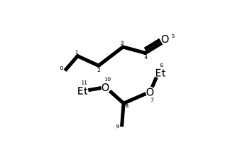 CCCCC=O.CCOC(C)OCC